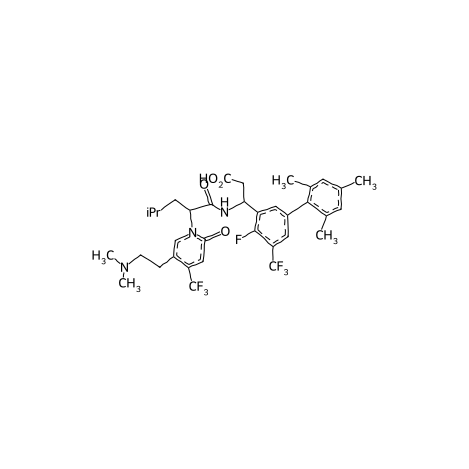 Cc1cc(C)c(-c2cc(C(CC(=O)O)NC(=O)C(CC(C)C)n3cc(CCN(C)C)c(C(F)(F)F)cc3=O)c(F)c(C(F)(F)F)c2)c(C)c1